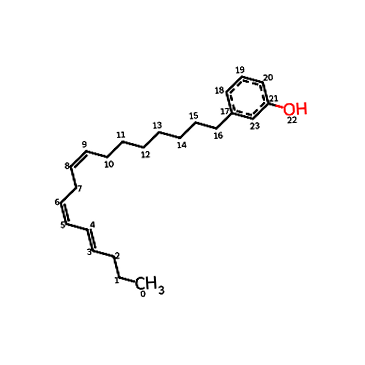 CCC/C=C/C=C\C/C=C\CCCCCCCc1cccc(O)c1